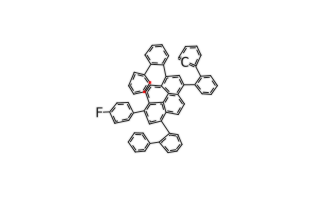 Fc1ccc(-c2cc(-c3ccccc3-c3ccccc3)c3ccc4c(-c5ccccc5-c5ccccc5)cc(-c5ccccc5-c5ccccc5)c5ccc2c3c54)cc1